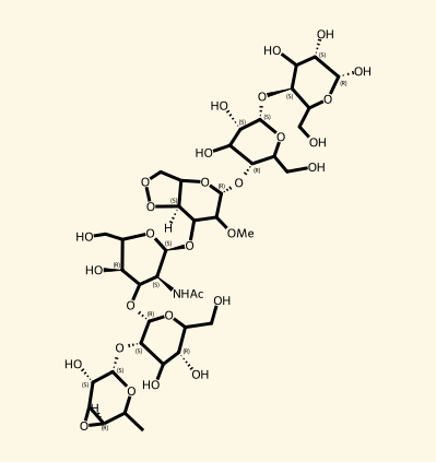 COC1C(O[C@@H]2OC(CO)[C@H](O)C(O[C@@H]3OC(CO)[C@H](O)C(O)[C@@H]3O[C@@H]3OC(C)[C@H]4OC4[C@@H]3O)[C@@H]2NC(C)=O)[C@H]2OOCC2O[C@@H]1O[C@H]1C(CO)O[C@@H](O[C@@H]2C(CO)O[C@@H](O)[C@@H](O)C2O)[C@@H](O)C1O